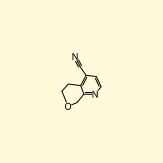 N#Cc1ccnc2c1CCOC2